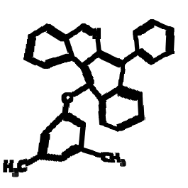 Cc1cc(C)cc(Oc2c3ccccc3c(-c3ccccc3)c3ncc4ccccc4c23)c1